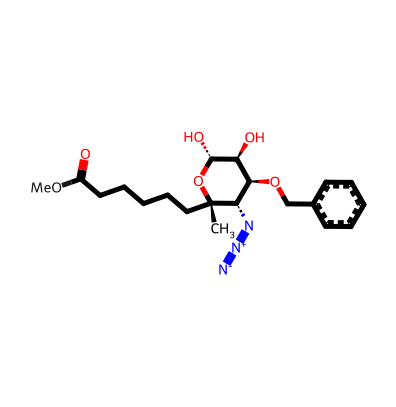 COC(=O)CCCCC[C@]1(C)O[C@H](O)[C@@H](O)[C@@H](OCc2ccccc2)[C@@H]1N=[N+]=[N-]